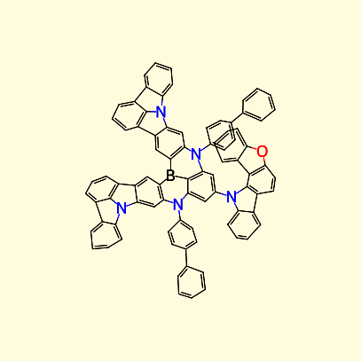 c1ccc(-c2ccc(N3c4cc5c(cc4B4c6cc7c8cccc9c%10ccccc%10n(c7cc6N(c6ccc(-c7ccccc7)cc6)c6cc(-n7c%10ccccc%10c%10ccc%11oc%12ccccc%12c%11c%107)cc3c64)c98)c3cccc4c6ccccc6n5c43)cc2)cc1